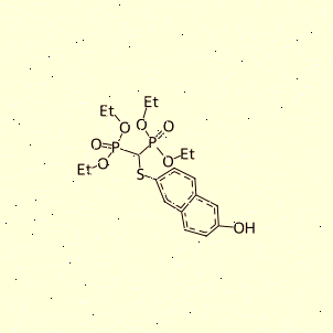 CCOP(=O)(OCC)C(Sc1ccc2cc(O)ccc2c1)P(=O)(OCC)OCC